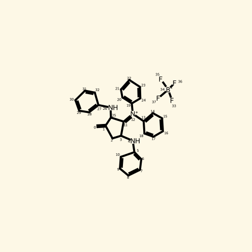 C=C1CC(Nc2ccccc2)C(=[N+](c2ccccc2)c2ccccc2)C1Nc1ccccc1.F[B-](F)(F)F